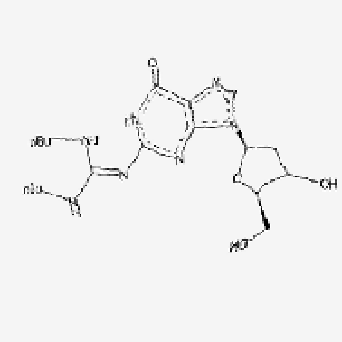 CCCCNC(=Nc1nc2c(ncn2[C@H]2CC(O)[C@@H](CO)O2)c(=O)[nH]1)NCCCC